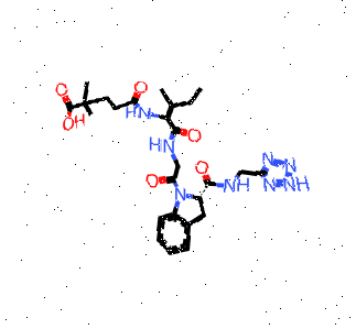 CCC(C)C(NC(=O)CCC(C)(C)C(=O)O)C(=O)NCC(=O)N1c2ccccc2C[C@H]1C(=O)NCc1nn[nH]n1